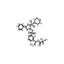 NC(OC(=O)C(F)(F)F)c1ccnc(S(=O)(=O)CC2CC(c3ccccc3)CN2S(=O)(=O)N2CCOCC2)c1